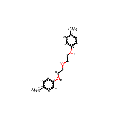 CSc1ccc(OCCOCCOc2ccc(SC)cc2)cc1